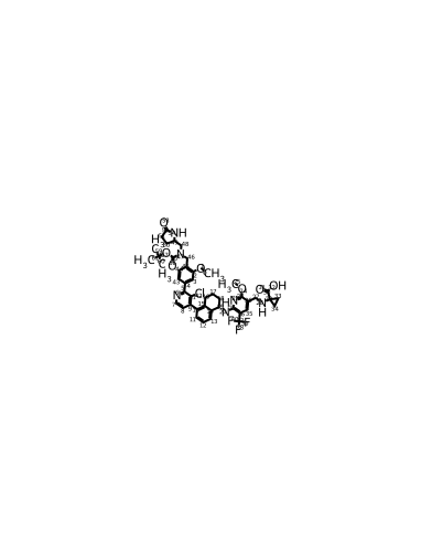 COc1cc(-c2nccc(-c3cccc4c3CCC[C@@H]4Nc3nc(OC)c(CNC4(C(=O)O)CC4)cc3C(F)(F)F)c2Cl)ccc1CN(CC1CCC(=O)N1)C(=O)OC(C)(C)C